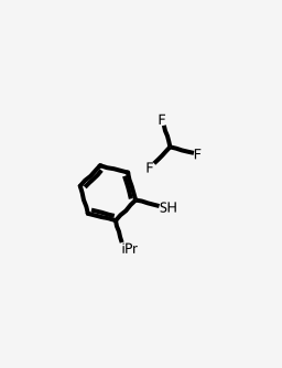 CC(C)c1ccccc1S.FC(F)F